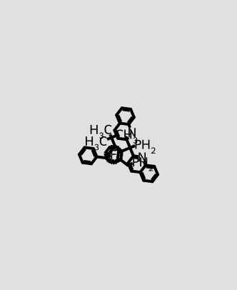 CC(C)(C)[C]12[C]3(c4ccccc4)[CH]4[C]5(CP)[C]1(C(P)(c1ccc6ccccc6n1)c1ccc6ccccc6n1)[Fe]45321678[CH]2[CH]1[CH]6[CH]7[CH]28